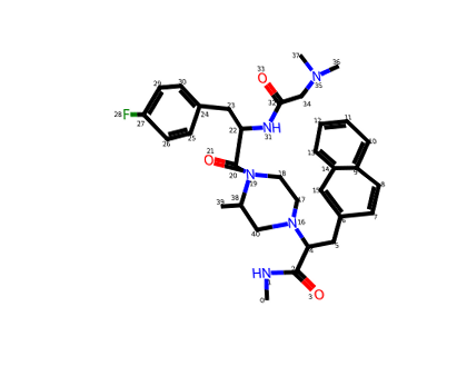 CNC(=O)C(Cc1ccc2ccccc2c1)N1CCN(C(=O)C(Cc2ccc(F)cc2)NC(=O)CN(C)C)C(C)C1